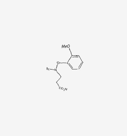 COc1ccccc1ON(CCC(=O)O)C(C)=O